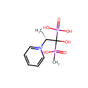 C[C@@H]([n+]1ccccc1)C(O)(P(C)(=O)O)P(=O)(O)O